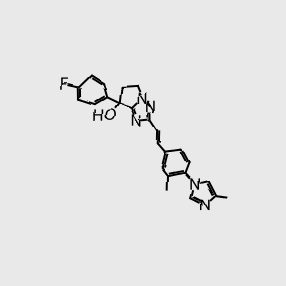 Cc1cn(-c2ccc(/C=C/c3nc4n(n3)CCC4(O)c3ccc(F)cc3)cc2C)cn1